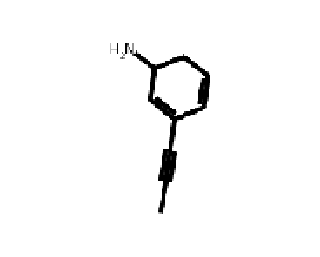 CC#CC1=CC(N)CC=C1